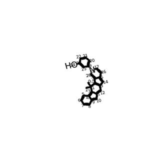 CC1(C)C2=c3ccccc3=CC2=Cc2cc3ccn(-c4cccc(O)c4)cc-3c21